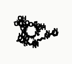 CC[C@H]1OC(=O)[C@H](C)[C@@H](O[C@H]2C[C@@](C)(OC)[C@@H](O)[C@H](C)O2)[C@H](C)[C@H]2O[C@@H]3O[C@H](C)C[C@H](N(C)CCc4cn(CCCCn5cnc(-c6cccnc6)c5)nn4)[C@H]3O[C@]2(C)C[C@@H](C)CN(C)[C@H](C)[C@@H](O)[C@]1(C)O